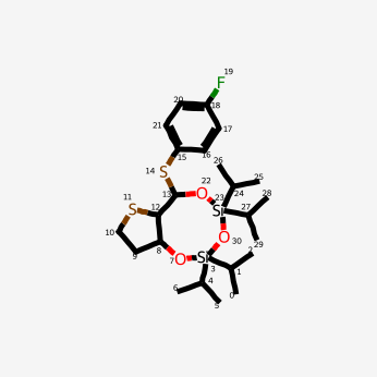 CC(C)[Si]1(C(C)C)OC2CCSC2C(Sc2ccc(F)cc2)O[Si](C(C)C)(C(C)C)O1